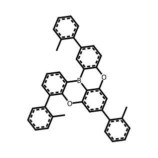 Cc1ccccc1-c1cc2c3c(c1)Oc1c(cccc1-c1ccccc1C)B3c1cc(-c3ccccc3C)ccc1O2